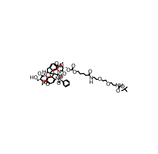 CN1C(=O)[C@@]23C[C@]4([C@]56C[C@@]78SS[C@@](COC(=O)OCCCCC(=O)NCCOCCOCCNC(=O)OC(C)(C)C)(C(=O)N7[C@H]5N(S(=O)(=O)c5ccccc5)c5ccccc56)N(C)C8=O)c5ccccc5C[C@@H]4N2C(=O)[C@]1(CO)SS3